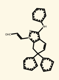 O=CC=Cn1nc(Nc2ccccc2)c2c1CC(c1ccccc1)(c1ccccc1)C=C2